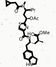 COC(=O)[C@@H](C)C[C@H](Cc1ccc2c(c1)CCN2)NC(=O)c1csc([C@@H](CC(C(C)C)N(C)C(=O)CC2CC2)OC(C)=O)n1